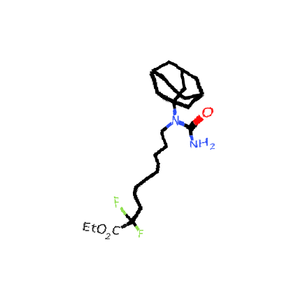 CCOC(=O)C(F)(F)CCCCCCN(C(N)=O)C12CC3CC(CC(C3)C1)C2